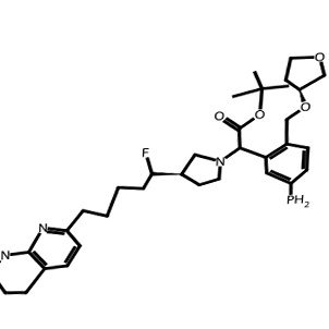 CC(C)(C)OC(=O)C(c1cc(P)ccc1CO[C@H]1CCOC1)N1CC[C@@H](C(F)CCCCc2ccc3c(n2)NCCC3)C1